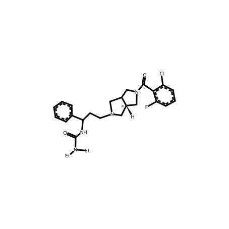 CCN(CC)C(=O)NC(CCN1CC2CN(C(=O)c3c(F)cccc3Cl)C[C@@H]2C1)c1ccccc1